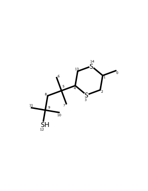 CC1CSC(C(C)(C)CC(C)(C)S)CS1